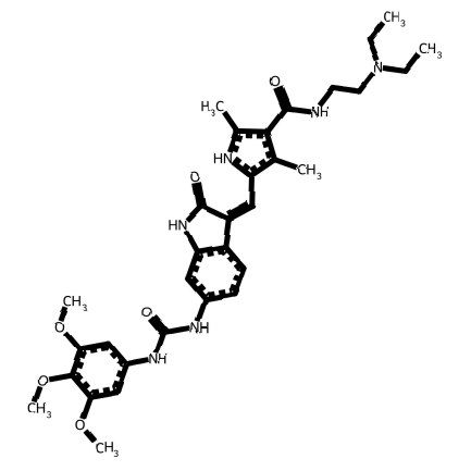 CCN(CC)CCNC(=O)c1c(C)[nH]c(/C=C2\C(=O)Nc3cc(NC(=O)Nc4cc(OC)c(OC)c(OC)c4)ccc32)c1C